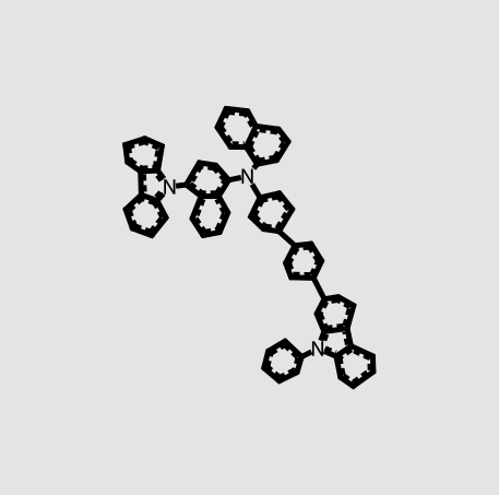 c1ccc(-n2c3ccccc3c3ccc(-c4ccc(-c5ccc(N(c6cccc7ccccc67)c6ccc(-n7c8ccccc8c8ccccc87)c7ccccc67)cc5)cc4)cc32)cc1